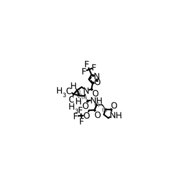 CC1(C)[C@@H]2[C@@H](C(=O)N[C@@H](C[C@@H]3CCNC3=O)C(=O)COC(F)(F)F)N(C(=O)c3cc(C(F)(F)F)no3)C[C@@H]21